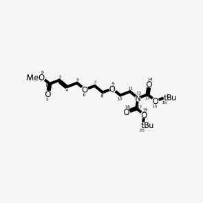 COC(=O)/C=C/COCCOCCN(C(=O)OC(C)(C)C)C(=O)OC(C)(C)C